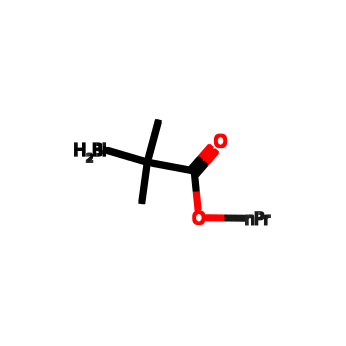 CCCOC(=O)[C](C)(C)[BiH2]